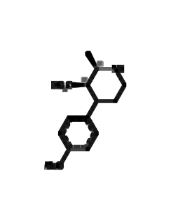 COc1ccc(C2CCN[C@H](C)[C@@H]2C(=O)O)cc1